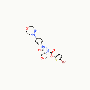 CN1CCOCCN1c1ccc(NC(=O)C2(NC(=O)Oc3ccc(Br)s3)CCOC2)cc1